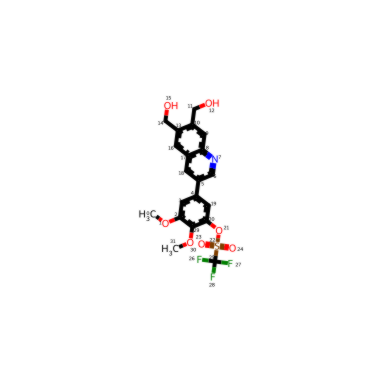 COc1cc(-c2cnc3cc(CO)c(CO)cc3c2)cc(OS(=O)(=O)C(F)(F)F)c1OC